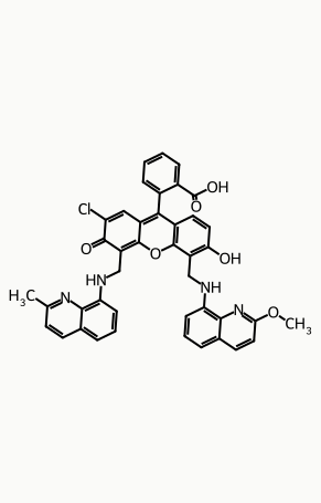 COc1ccc2cccc(NCc3c(O)ccc4c(-c5ccccc5C(=O)O)c5cc(Cl)c(=O)c(CNc6cccc7ccc(C)nc67)c-5oc34)c2n1